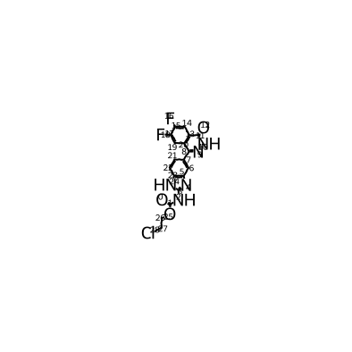 O=C(Nc1nc2cc(-c3n[nH]c(=O)c4cc(F)c(F)cc34)ccc2[nH]1)OCCCl